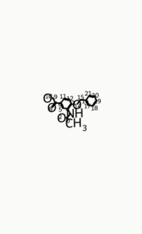 CC(=O)Nc1cc(C(=O)C=O)ccc1OCc1ccccc1